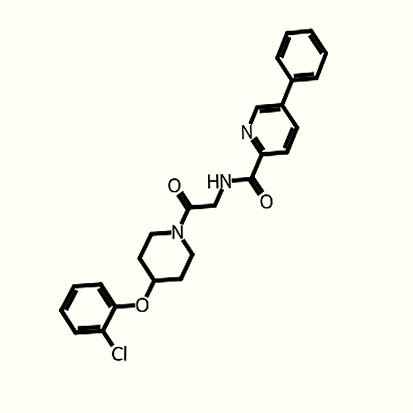 O=C(NCC(=O)N1CCC(Oc2ccccc2Cl)CC1)c1ccc(-c2ccccc2)cn1